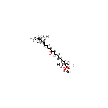 CCC(C)OC(=O)C(C)(C)CCCCCCCC(=O)CCCCCCCC(C)(C)C(=O)O